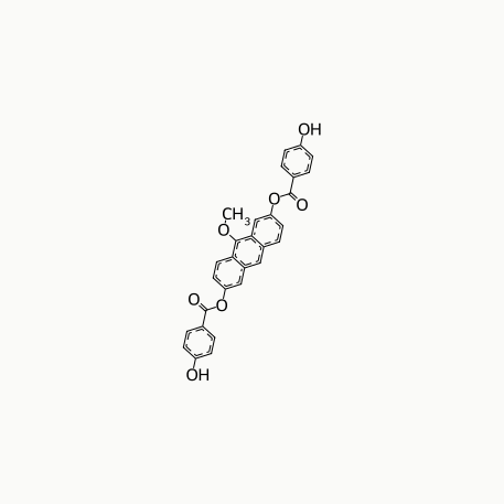 COc1c2ccc(OC(=O)c3ccc(O)cc3)cc2cc2ccc(OC(=O)c3ccc(O)cc3)cc12